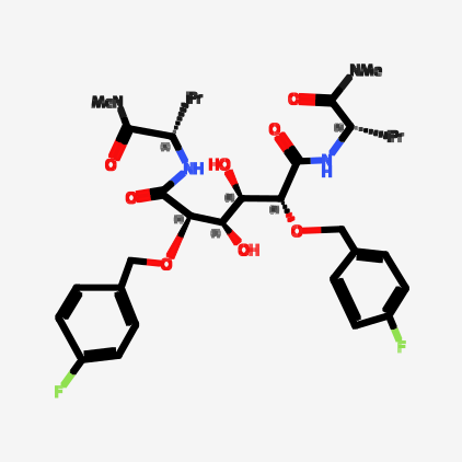 CNC(=O)[C@@H](NC(=O)[C@H](OCc1ccc(F)cc1)[C@H](O)[C@@H](O)[C@@H](OCc1ccc(F)cc1)C(=O)N[C@H](C(=O)NC)C(C)C)C(C)C